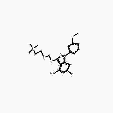 COc1cccc(-n2nc(OCOCC[Si](C)(C)C)c3c(N)nc(Cl)cc32)c1